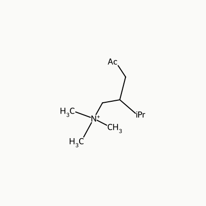 CC(=O)CC(C[N+](C)(C)C)C(C)C